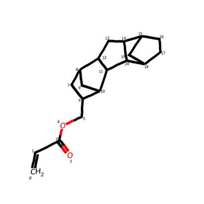 C=CC(=O)OCC1CC2CC1C1C2CC2C3CCC(C3)C21